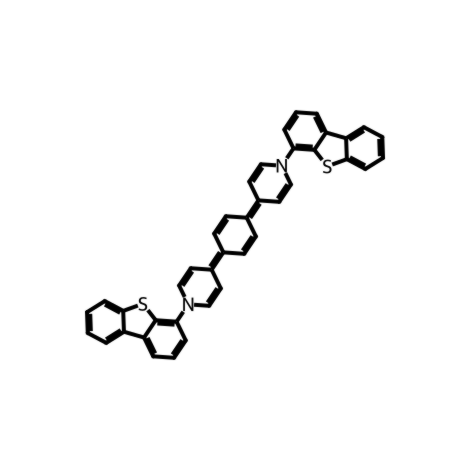 C1=CN(c2cccc3c2sc2ccccc23)C=CC1=c1ccc(=C2C=CN(c3cccc4c3sc3ccccc34)C=C2)cc1